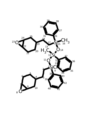 C[Si](CCC1CCC2OC2C1)(O[Si](C)(O[Si](C)(CCC1CCC2OC2C1)c1ccccc1)c1ccccc1)c1ccccc1